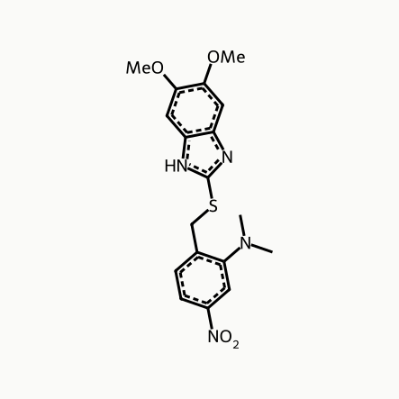 COc1cc2nc(SCc3ccc([N+](=O)[O-])cc3N(C)C)[nH]c2cc1OC